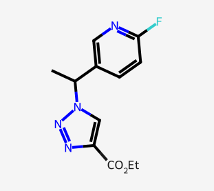 CCOC(=O)c1cn(C(C)c2ccc(F)nc2)nn1